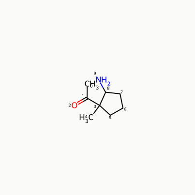 CC(=O)C1(C)CCCC1N